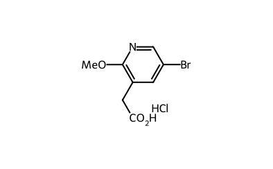 COc1ncc(Br)cc1CC(=O)O.Cl